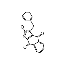 O=C1c2ccccc2C(=O)c2c1n[n+]([O-])n2Cc1ccccc1